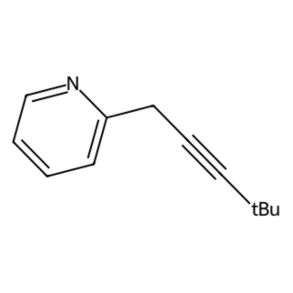 CC(C)(C)C#CCc1ccccn1